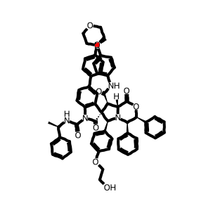 COc1ccc(-c2ccc3c(c2)[C@]2(C(=O)N3C(=O)N[C@H](C)c3ccccc3)[C@H](c3ccc(OCCO)cc3)N3[C@H](c4ccccc4)[C@H](c4ccccc4)OC(=O)[C@H]3[C@@H]2C(=O)Nc2ccc(N3CCOCC3)cc2)cc1